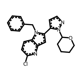 Clc1ccc2c(cc(-c3ccnn3C3CCCCO3)n2Cc2ccccc2)n1